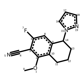 COc1c(C#N)c(F)cc2c1CCCC2n1cccn1